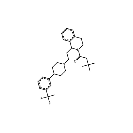 CC(C)(C)CC(=O)N1CCc2ccccc2C1CCN1CCC(c2cccc(C(F)(F)F)c2)CC1